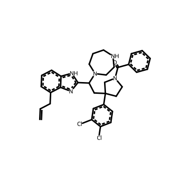 C=CCc1cccc2[nH]c(C(CC3(c4ccc(Cl)c(Cl)c4)CCN(C(=O)c4ccccc4)C3)N3CCCNCC3)nc12